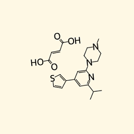 CC(C)c1cc(-c2ccsc2)cc(N2CCN(C)CC2)n1.O=C(O)/C=C/C(=O)O